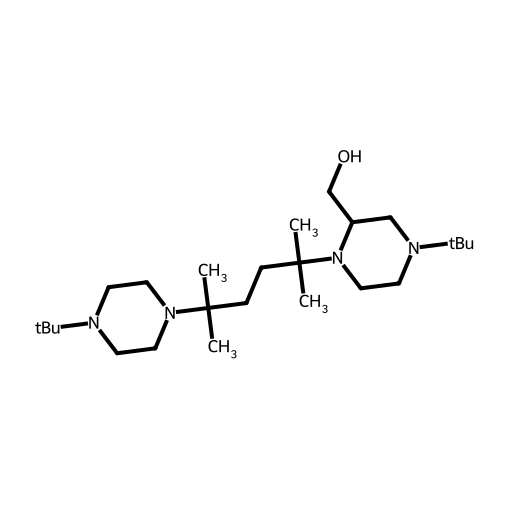 CC(C)(C)N1CCN(C(C)(C)CCC(C)(C)N2CCN(C(C)(C)C)CC2CO)CC1